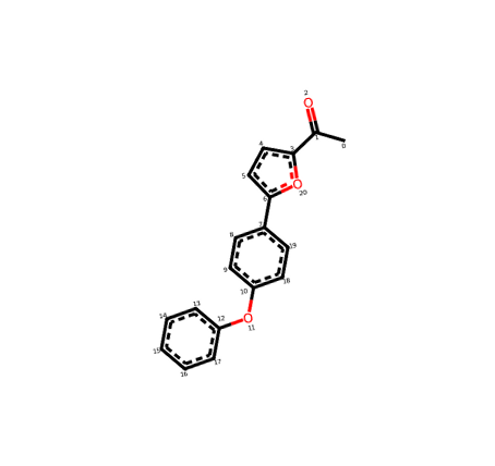 CC(=O)c1ccc(-c2ccc(Oc3ccccc3)cc2)o1